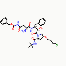 CC(C)(C)NC(=O)[C@@H]1CC(OCCCCF)CN1C(=O)[C@@H](O)[C@H](Cc1ccccc1)NC(=O)[C@@H](N)CC(=O)NC(=O)OCc1ccccc1